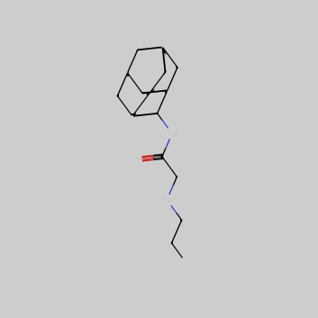 CCCNCC(=O)NC1C2CC3CC(C2)CC1C3